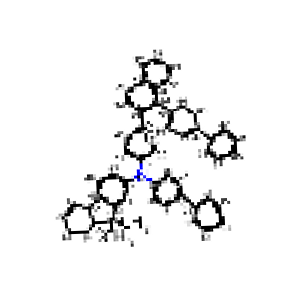 CC1(C)c2cc(N(c3ccc(-c4ccccc4)cc3)c3ccc(-c4ccc5ccccc5c4C4=CC=C(c5ccccc5)CC4)cc3)ccc2C2C=CCCC21